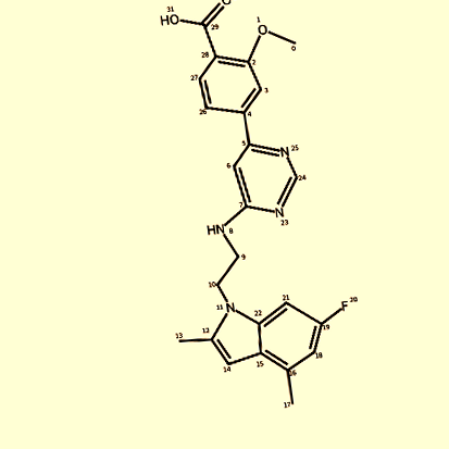 COc1cc(-c2cc(NCCn3c(C)cc4c(C)cc(F)cc43)ncn2)ccc1C(=O)O